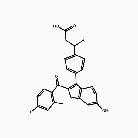 Cc1cc(F)ccc1C(=O)c1sc2cc(O)ccc2c1-c1ccc(C(C)CC(=O)O)cc1